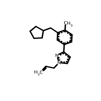 C=CCn1ccc(-c2ccc(C)c(CC3CCCC3)c2)n1